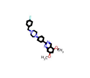 COc1cc(OC)c2cnc(-c3ccc(N4CCN(Cc5ccc(F)cc5)CC4)cc3)nc2c1